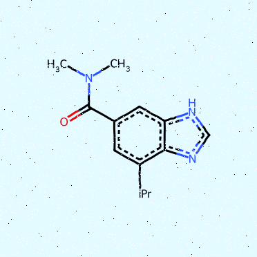 CC(C)c1cc(C(=O)N(C)C)cc2[nH]cnc12